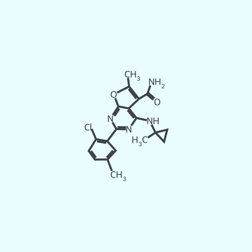 Cc1ccc(Cl)c(-c2nc(NC3(C)CC3)c3c(C(N)=O)c(C)oc3n2)c1